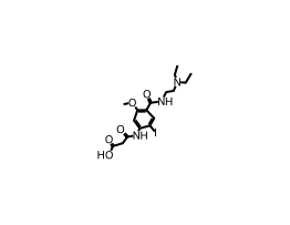 CCN(CC)CCNC(=O)c1cc(I)c(NC(=O)CC(=O)O)cc1OC